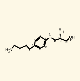 NCCCCc1ccc(OC[C@@H](O)CO)cc1